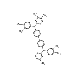 CCCCc1ccc(N(c2ccc(-c3ccc(N(c4cccc(C)c4)c4ccc(C)c(C)c4)cc3)cc2)c2ccc(C)c(C)c2)cc1C